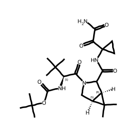 CC(C)(C)OC(=O)N[C@H](C(=O)N1C[C@H]2[C@@H](C1C(=O)NC1(C(=O)C(N)=O)CC1)C2(C)C)C(C)(C)C